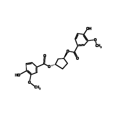 COc1cc(C(=O)O[C@H]2CC[C@H](OC(=O)c3ccc(O)c(OC)c3)C2)ccc1O